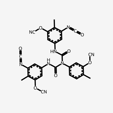 Cc1ccc(N(C(=O)Nc2cc(N=C=O)c(C)c(OC#N)c2)C(=O)Nc2cc(N=C=O)c(C)c(OC#N)c2)cc1OC#N